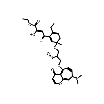 CCOC(=O)/C(O)=C/C(=O)C1=CC(C)(OCC(COC2=c3c(=O)ccoc3=CC(N(C)C)C#C2)N=O)CC=C1CC